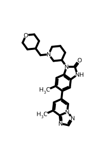 Cc1cc2c(cc1-c1cc(C)c3ncnn3c1)[nH]c(=O)n2C1CCCN(CC2CCOCC2)C1